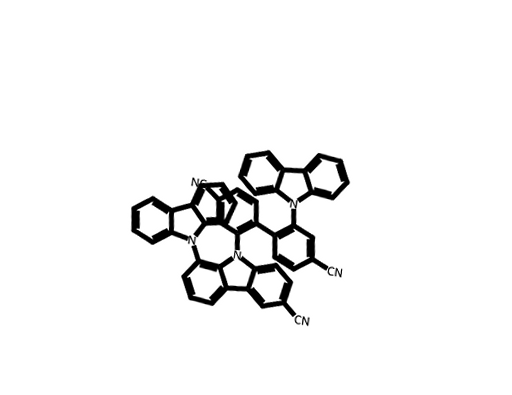 N#Cc1ccc(-c2ccc(C#N)cc2-n2c3ccc(C#N)cc3c3cccc(-n4c5ccccc5c5ccccc54)c32)c(-n2c3ccccc3c3ccccc32)c1